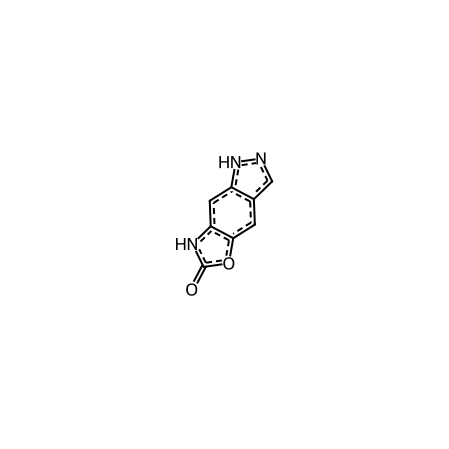 O=c1[nH]c2cc3[nH]ncc3cc2o1